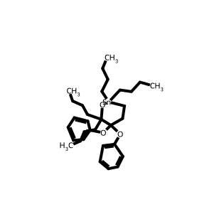 CCCCC1(CCCC)[O][Sn]([CH2]CCC)([CH2]CCC)[CH2]CC1(Oc1ccccc1)Oc1ccccc1